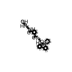 O=C(CNCCOC(=O)N(c1ccccc1-c1ccccc1)N1CC[CH]CC1)c1cccc(C(=O)NCCNCCO)c1